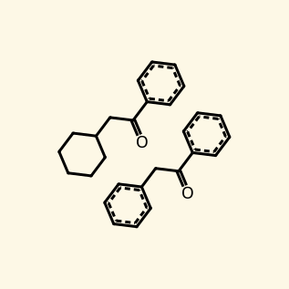 O=C(CC1CCCCC1)c1ccccc1.O=C(Cc1ccccc1)c1ccccc1